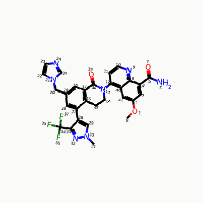 COc1cc(C(N)=O)c2nccc(N3CCc4c(cc(Cn5ccnc5)cc4-c4cn(C)nc4C(F)(F)F)C3=O)c2c1